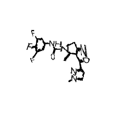 CC1c2c(noc2-c2ccn(C)n2)CCN1C(=O)Nc1cc(F)c(F)c(F)c1